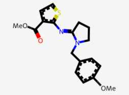 COC(=O)c1ccsc1/N=C1\CCCN1Cc1ccc(OC)cc1